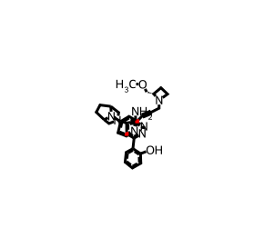 COC[C@@H]1CCN1CC#Cc1cc(N2C3CCC2CN(c2cc(-c4ccccc4O)nnc2N)C3)ccn1